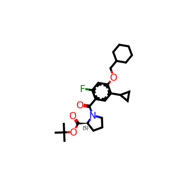 CC(C)(C)OC(=O)[C@@H]1CCCN1C(=O)c1cc(C2CC2)c(OCC2CCCCC2)cc1F